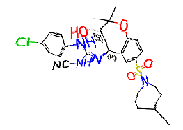 CC1CCN(S(=O)(=O)c2ccc3c(c2)[C@@H](N=C(NC#N)Nc2ccc(Cl)cc2)[C@H](O)C(C)(C)O3)CC1